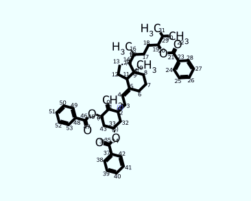 C=C1/C(=C\C=C2CCC[C@@]3(C)C2CC[C@@H]3[C@H](C)CCC(OC(=O)c2ccccc2)C(C)C)C[C@H](OC(=O)c2ccccc2)C[C@H]1OC(=O)c1ccccc1